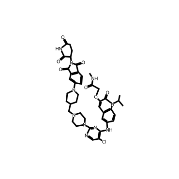 CNC(=O)COc1cc2cc(Nc3nc(N4CCN(CC5CCN(c6ccc7c(c6)C(=O)N(C6CCC(=O)NC6=O)C7=O)CC5)CC4)ncc3Cl)ccc2n(C(C)C)c1=O